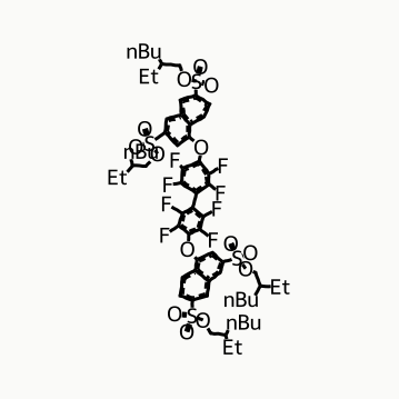 CCCCC(CC)COS(=O)(=O)c1ccc2c(Oc3c(F)c(F)c(-c4c(F)c(F)c(Oc5cc(S(=O)(=O)OCC(CC)CCCC)cc6cc(S(=O)(=O)OCC(CC)CCCC)ccc56)c(F)c4F)c(F)c3F)cc(S(=O)(=O)OCC(CC)CCCC)cc2c1